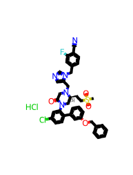 CS(=O)(=O)CC[C@H]1CN(c2cc(Cl)ccc2-c2cccc(OCc3ccccc3)c2)C(=O)CN1Cc1cncn1Cc1ccc(C#N)c(F)c1.Cl